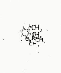 C=Cc1ccccc1.CC(=O)N(C)C